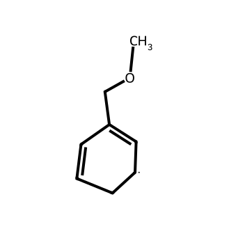 COCC1=C[CH]CC=C1